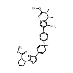 C[C@@H](c1ncc(-c2ccc(C3(C)C=CC(c4cnc([C@@H]5CCCN5C(=O)OC(C)(C)C)[nH]4)=CC3)cc2)n1N)N(C)C(=O)OC(C)(C)C